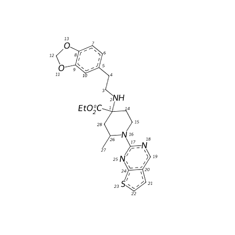 CCOC(=O)C1(NCCc2ccc3c(c2)OCO3)CCN(c2ncc3ccsc3n2)C(C)C1